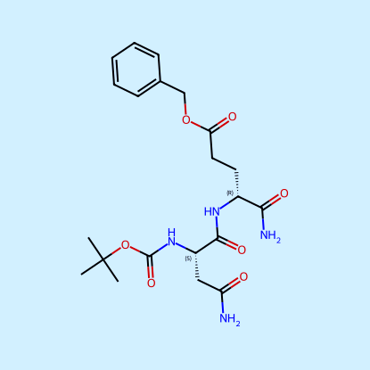 CC(C)(C)OC(=O)N[C@@H](CC(N)=O)C(=O)N[C@H](CCC(=O)OCc1ccccc1)C(N)=O